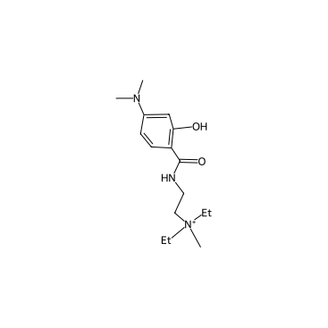 CC[N+](C)(CC)CCNC(=O)c1ccc(N(C)C)cc1O